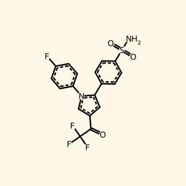 NS(=O)(=O)c1ccc(-c2cc(C(=O)C(F)(F)F)cn2-c2ccc(F)cc2)cc1